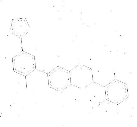 Cc1ccc(-c2ncco2)cc1-c1cnc2c(c1)NCC(c1c(F)cccc1F)O2